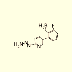 BCc1c(F)cccc1-c1ccc(N=NN)nc1